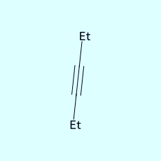 [CH2]CC#CC[CH2]